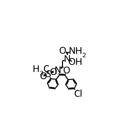 CS(=O)(=O)c1ccccc1-c1nc(CN(O)C(N)=O)oc1-c1ccc(Cl)cc1